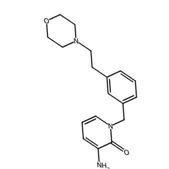 Nc1cccn(Cc2cccc(CCN3CCOCC3)c2)c1=O